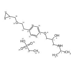 CC(C)NCC(O)COc1ccc(CCOCC2CC2)cc1.CCS(=O)(=O)O